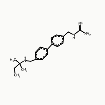 CCC(C)(C)NCc1ccc(-c2ccc(CNC(=N)N)cc2)cc1